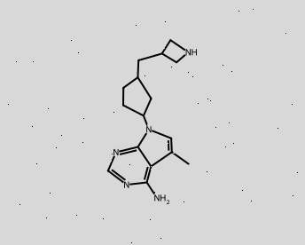 Cc1cn(C2CCC(CC3CNC3)C2)c2ncnc(N)c12